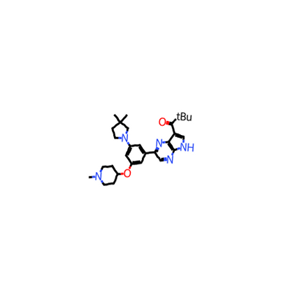 CN1CCC(Oc2cc(-c3cnc4[nH]cc(C(=O)C(C)(C)C)c4n3)cc(N3CCC(C)(C)C3)c2)CC1